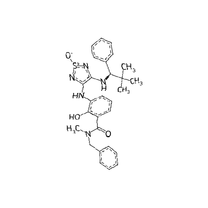 CN(Cc1ccccc1)C(=O)c1cccc(Nc2n[s+]([O-])nc2N[C@@H](c2ccccc2)C(C)(C)C)c1O